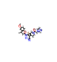 COc1cccc(C(C)CC(=O)Nc2sc3c(c2C#N)CCN(C(=O)Cn2ccnc2)C3)c1